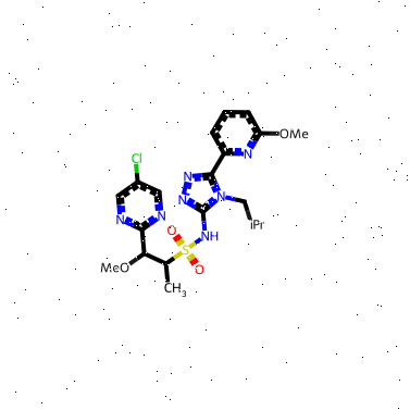 COc1cccc(-c2nnc(NS(=O)(=O)C(C)C(OC)c3ncc(Cl)cn3)n2CC(C)C)n1